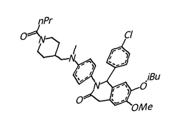 CCCC(=O)N1CCC(CN(C)c2ccc(N3C(=O)Cc4cc(OC)c(O[C@H](C)CC)cc4C3c3ccc(Cl)cc3)cc2)CC1